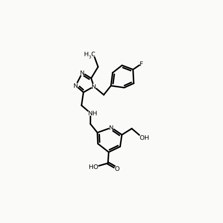 CCc1nnc(CNCc2cc(C(=O)O)cc(CO)n2)n1Cc1ccc(F)cc1